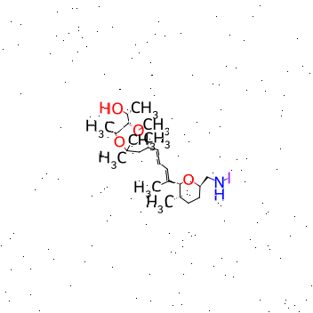 CO[C@@H]([C@@H](C)O)[C@@H](C)OC(C)(C)C[C@H](C)/C=C/C=C(\C)[C@H]1O[C@@H](CNI)CC[C@@H]1C